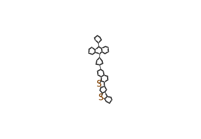 c1ccc(-c2c3ccccc3c(-c3ccc(-c4ccc5c(ccc6c7cc8c(cc7sc56)sc5ccccc58)c4)cc3)c3ccccc23)cc1